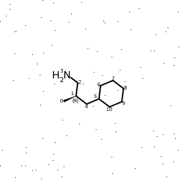 C[C@@H](CN)CC1CCCCC1